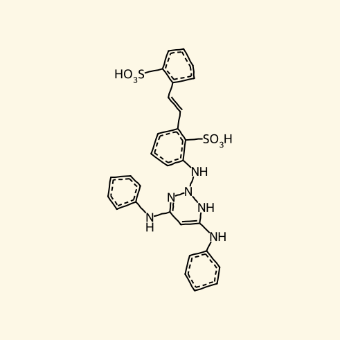 O=S(=O)(O)c1ccccc1C=Cc1cccc(NN2N=C(Nc3ccccc3)C=C(Nc3ccccc3)N2)c1S(=O)(=O)O